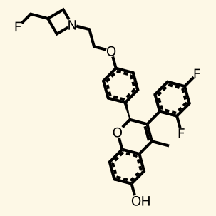 CC1=C(c2ccc(F)cc2F)[C@H](c2ccc(OCCN3CC(CF)C3)cc2)Oc2ccc(O)cc21